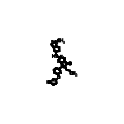 C=CCn1c(=O)c2cnc(Nc3ccc4c(cnn4C)c3)nc2n1-c1cccc(O[C@H]2CCNC2)n1